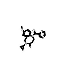 COc1ccc2c(c1)CN(C1CC1)C(=O)CCN2C(=O)c1cnccn1